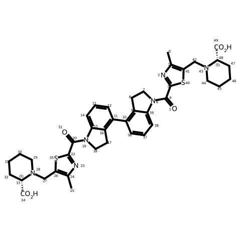 Cc1nc(C(=O)N2CCc3c(-c4cccc5c4CCN5C(=O)c4nc(C)c(CN5CCCC[C@H]5C(=O)O)s4)cccc32)sc1CN1CCCC[C@H]1C(=O)O